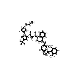 CC(C)(C)c1cc(NC(=O)NC2CCC(Oc3ccc4nnc(-c5c(Cl)cccc5Cl)n4c3)c3ccccc32)n(-c2cnn(CCO)c2)n1